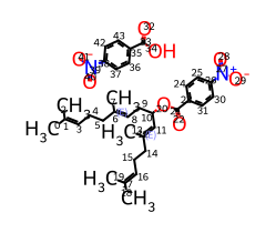 CC(C)=CCC/C(C)=C/CC(/C=C(\C)CCC=C(C)C)OC(=O)c1ccc([N+](=O)[O-])cc1.O=C(O)c1ccc([N+](=O)[O-])cc1